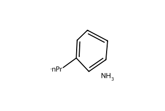 CC[CH]c1ccccc1.N